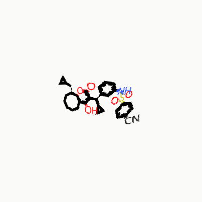 N#Cc1ccc(S(=O)(=O)Nc2cccc([C@H](c3c(O)c4c(oc3=O)[C@@H](CC3CC3)CCCCC4)C3CC3)c2)cc1